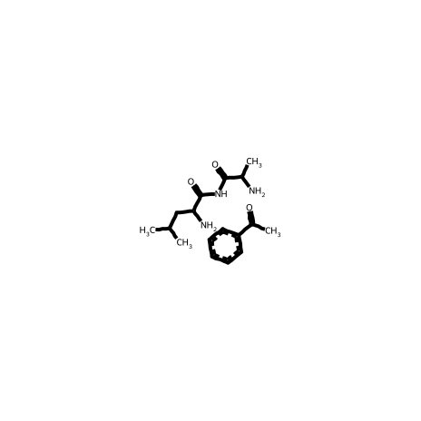 CC(=O)c1ccccc1.CC(C)CC(N)C(=O)NC(=O)C(C)N